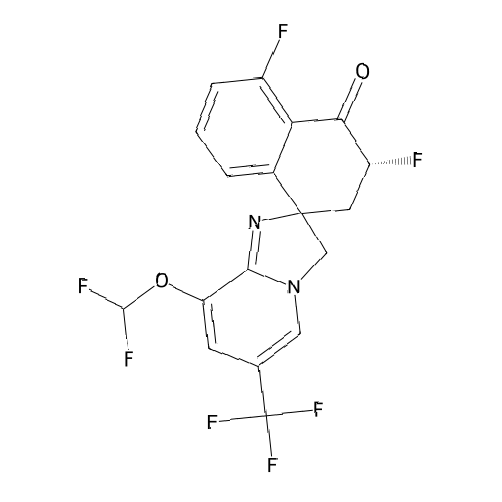 O=C1c2c(F)cccc2C2(C[C@H]1F)CN1C=C(C(F)(F)F)C=C(OC(F)F)C1=N2